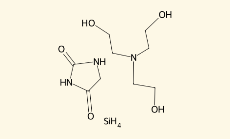 O=C1CNC(=O)N1.OCCN(CCO)CCO.[SiH4]